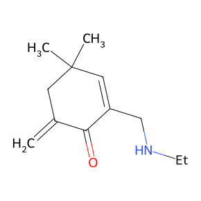 C=C1CC(C)(C)C=C(CNCC)C1=O